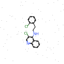 Clc1ccccc1CCNc1c(Cl)cnc2ccccc12